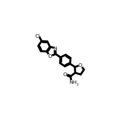 NC(=O)C1CCOC1c1ccc(-c2nc3cc(Cl)ccc3o2)cc1